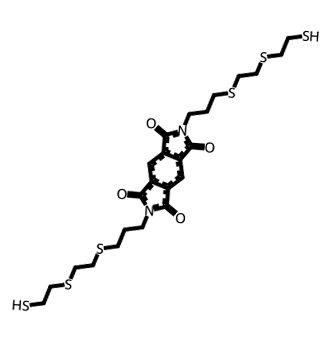 O=c1c2cc3c(=O)n(CCCSCCSCCS)c(=O)c3cc2c(=O)n1CCCSCCSCCS